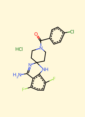 Cl.NC1=NC2(CCN(C(=O)c3ccc(Cl)cc3)CC2)Nc2c(F)ccc(F)c21